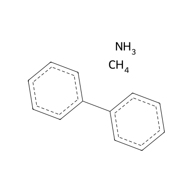 C.N.c1ccc(-c2ccccc2)cc1